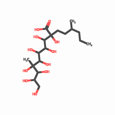 CCCC(C)CCC(O)(C(=O)O)C(O)C(O)C(O)C(O)C(C)(O)C(O)C(O)CO